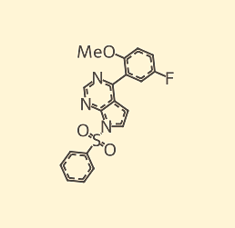 COc1ccc(F)cc1-c1ncnc2c1ccn2S(=O)(=O)c1ccccc1